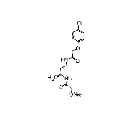 C=C(CCNC(=O)COc1ccc(Cl)cc1)NC(=O)COC